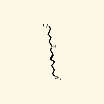 CCCCCC=CCNCCCCC